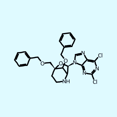 Clc1nc(Cl)c2ncn([C@@H]3O[C@@]4(COCc5ccccc5)CCNC3C4OCc3ccccc3)c2n1